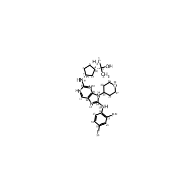 CC(C)(O)[C@H]1CC[C@@H](Nc2ncc3nc(Nc4ccc(F)cc4F)n(C4CCOCC4)c3n2)C1